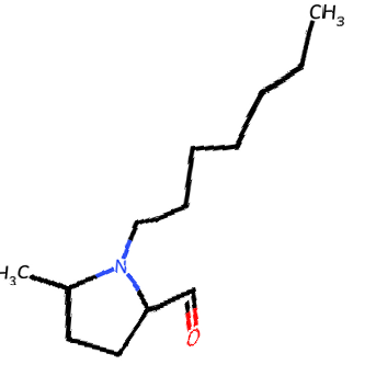 CCCCCCCN1C(C)CCC1C=O